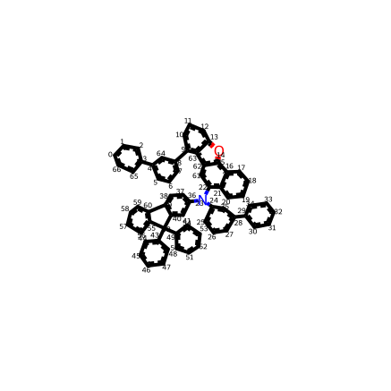 c1ccc(-c2cccc(-c3cccc4oc5c6ccccc6c(N(c6cccc(-c7ccccc7)c6)c6ccc7c(c6)C(c6ccccc6)(c6ccccc6)c6ccccc6-7)cc5c34)c2)cc1